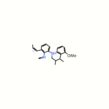 C=Nc1c(/C=C\C)cccc1NCC(C)C(C)c1ccccc1OC